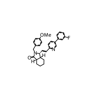 COc1ccc(CN2C(=O)[C@H]3CCCC[C@H]3[C@@H]2C=Cc2ccc(-c3cccc(F)c3)cn2)cc1